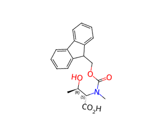 C[C@@H](O)[C@@H](C(=O)O)N(C)C(=O)OCC1c2ccccc2-c2ccccc21